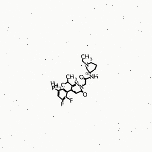 CCN1CCC[C@H](NC(=O)Cn2nc(C(C)C)c(-c3cc(P)cc(F)c3F)cc2=O)C1